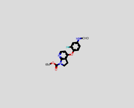 CC(C)(C)OC(=O)N1CCc2c(Oc3ccc(NC=O)cc3F)ccnc21